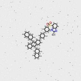 CCc1nc2cccc3c2n1-c1cc(-c2ccc(-c4ccc5c(-c6ccc7ccccc7c6)c6ccccc6c(-c6ccc7ccccc7c6)c5c4)cc2)ccc1S3(=O)=O